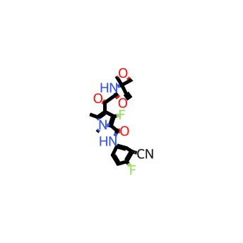 C#CC1(NC(=O)C(=O)c2c(F)c(C(=O)Nc3ccc(F)c(C#N)c3)n(C)c2C)COC1